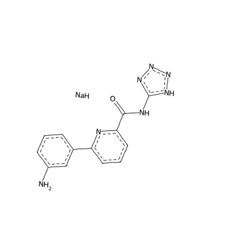 Nc1cccc(-c2cccc(C(=O)Nc3nnn[nH]3)n2)c1.[NaH]